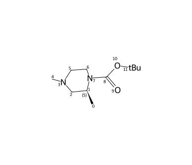 C[C@H]1CN(C)CCN1C(=O)OC(C)(C)C